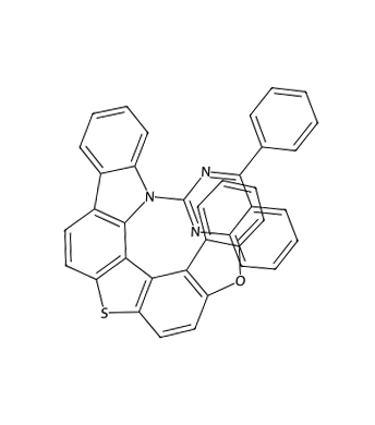 c1ccc(-c2nc(-n3c4ccccc4c4ccc5sc6ccc7oc8ccccc8c7c6c5c43)nc3ccccc23)cc1